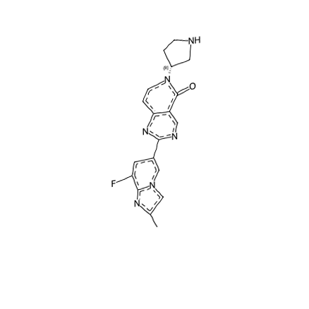 Cc1cn2cc(-c3ncc4c(=O)n([C@@H]5CCNC5)ccc4n3)cc(F)c2n1